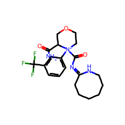 NC(=O)C1COCC[N+]1(C(=O)N=C1CCCCCCN1)c1cccc(C(F)(F)F)c1